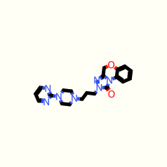 O=c1n(CCCN2CCN(c3ncccn3)CC2)nc2n1-c1ccccc1OC2